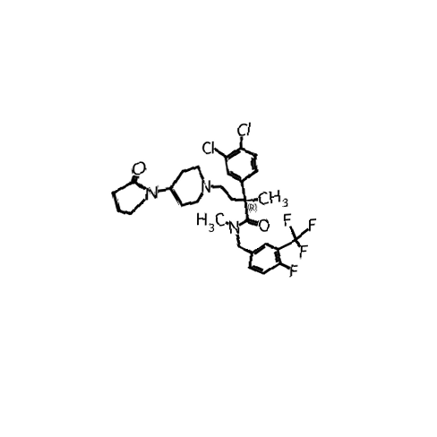 CN(Cc1ccc(F)c(C(F)(F)F)c1)C(=O)[C@](C)(CCN1CCC(N2CCCC2=O)CC1)c1ccc(Cl)c(Cl)c1